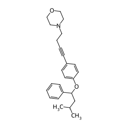 C[C](C)CC(Oc1ccc(C#CCCN2CCOCC2)cc1)c1ccccc1